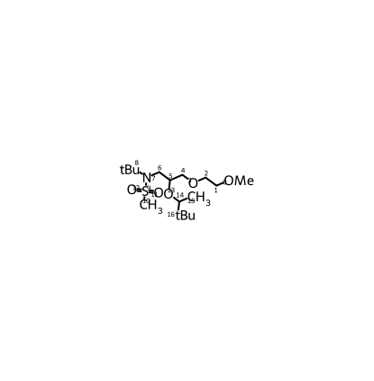 COCCOCC(CN(C(C)(C)C)S(C)(=O)=O)OC(C)C(C)(C)C